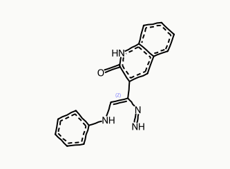 N=N/C(=C\Nc1ccccc1)c1cc2ccccc2[nH]c1=O